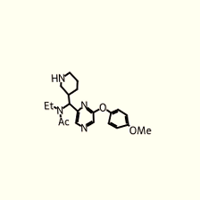 CCN(C(C)=O)C(c1cncc(Oc2ccc(OC)cc2)n1)C1CCCNC1